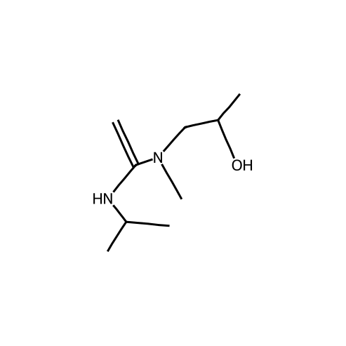 C=C(NC(C)C)N(C)CC(C)O